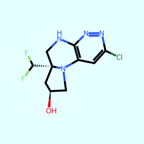 O[C@@H]1CN2c3cc(Cl)nnc3NC[C@]2(C(F)F)C1